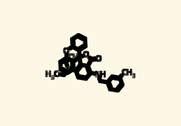 CCN(CC)c1ccc(NCc2cccc(C)c2)c2c1C1(OC2=O)c2ccccc2Oc2ccccc21